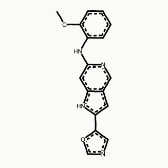 COc1ccccc1Nc1cc2[nH]c(-c3cnco3)cc2cn1